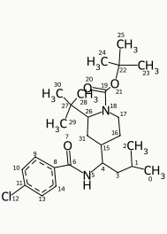 CC(C)CC(NC(=O)c1ccc(Cl)cc1)C1CCN(C(=O)OC(C)(C)C)C(C(C)(C)C)C1